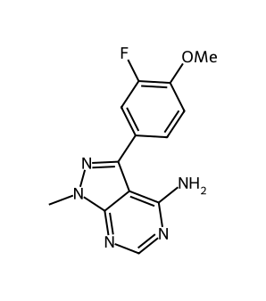 COc1ccc(-c2nn(C)c3ncnc(N)c23)cc1F